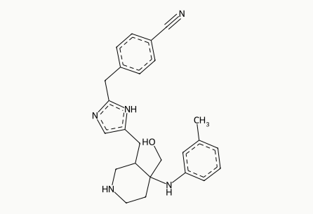 Cc1cccc(NC2(CO)CCNCC2Cc2cnc(Cc3ccc(C#N)cc3)[nH]2)c1